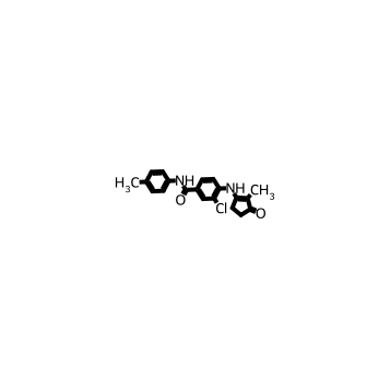 CC1=C(Nc2ccc(C(=O)Nc3ccc(C)cc3)cc2Cl)CCC1=O